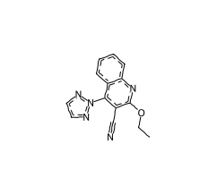 CCOc1nc2ccccc2c(-n2nccn2)c1C#N